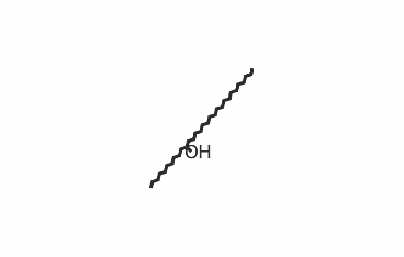 CCCCCCCCCCCCCCCCCCCC(O)CCCCCCCCCC